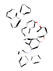 c1ccc(N(c2cccc3ccccc23)c2cc3oc4ccc5oc6cc(N(c7ccccc7)c7cccc8ccccc78)c7ccccc7c6c5c4c3c3ccccc23)cc1